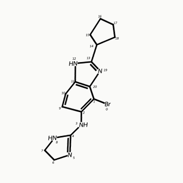 Brc1c(NC2=NCCN2)ccc2[nH]c(C3CCCC3)nc12